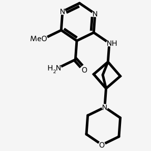 COc1ncnc(NC23CC(N4CCOCC4)(C2)C3)c1C(N)=O